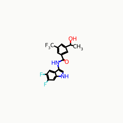 CC(O)c1cc(C(=O)Nc2c[nH]c3cc(F)c(F)cc23)cc(C(F)(F)F)c1